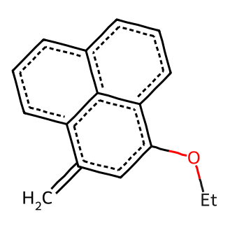 C=c1cc(OCC)c2cccc3cccc1c32